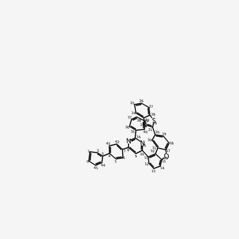 c1ccc(-c2ccc(-c3cc(-c4cccc5oc6ccc(-c7nc8ccccc8s7)cc6c45)nc(-c4ccccc4)n3)cc2)cc1